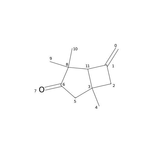 C=C1CC2(C)CC(=O)C(C)(C)C12